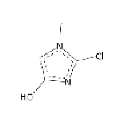 Cn1cc(O)nc1Cl